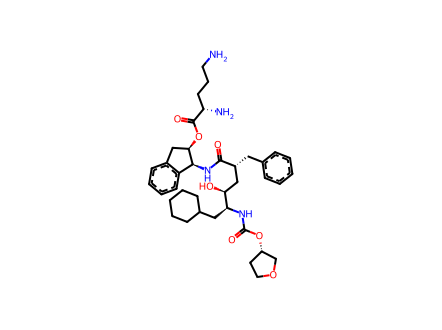 NCCC[C@H](N)C(=O)O[C@@H]1Cc2ccccc2[C@@H]1NC(=O)[C@H](Cc1ccccc1)C[C@H](O)[C@H](CC1CCCCC1)NC(=O)O[C@H]1CCOC1